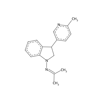 CC(C)=NN1CC(c2ccc(C)nc2)c2ccccc21